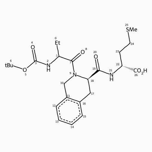 CCC(NC(=O)OC(C)(C)C)C(=O)N1Cc2ccccc2C[C@@H]1C(=O)N[C@H](CCSC)C(=O)O